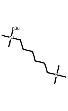 CCCC[N+](C)(C)CCCCCC[N+](C)(C)C